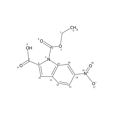 CCOC(=O)n1c(C(=O)O)cc2ccc([N+](=O)[O-])cc21